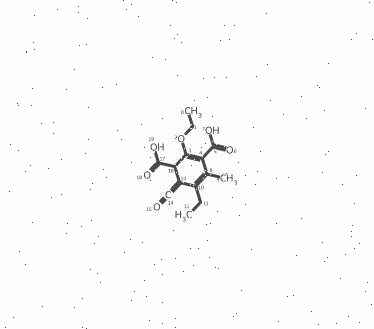 CCOC1=C(C(=O)O)C(C)=C(CC)C(=C=O)C1C(=O)O